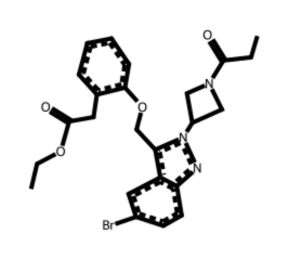 CCOC(=O)Cc1ccccc1OCc1c2cc(Br)ccc2nn1C1CN(C(=O)CC)C1